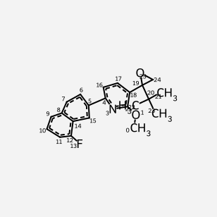 COc1nc(-c2ccc3cccc(F)c3c2)ccc1C1(C(C)(C)C)CO1